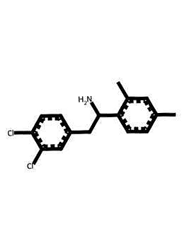 Cc1ccc(C(N)Cc2ccc(Cl)c(Cl)c2)c(C)c1